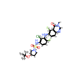 [2H]C([2H])([2H])O[C@@H]1CCN(S(=O)(=O)Nc2ccc(F)c(Nc3ccc4ncn(C)c(=O)c4c3F)c2Cl)C1